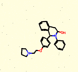 OC1Cc2ccccc2C(c2ccc(OCCN3CCCC3)cc2)N1c1ccccc1